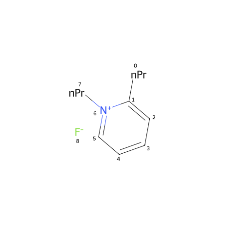 CCCc1cccc[n+]1CCC.[F-]